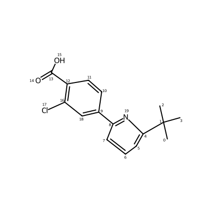 CC(C)(C)c1cccc(-c2ccc(C(=O)O)c(Cl)c2)n1